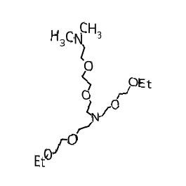 CCOCCOCCN(CCOCCOCC)CCOCCOCCN(C)C